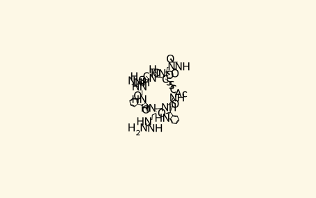 CC(=O)[C@@H]1CSSC[C@H](NC(=O)CN2C(=O)CNC2=O)C(=O)N[C@H](C)C(=O)N[C@@H](Cc2cnc[nH]2)C(=O)N[C@H](Cc2ccccc2)C(=O)N[C@@H](CCCNC(=N)N)C(=O)N[C@@H](Cc2c[nH]c3ccccc23)C(=O)N1